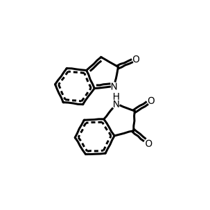 O=C1C=c2ccccc2=N1.O=C1Nc2ccccc2C1=O